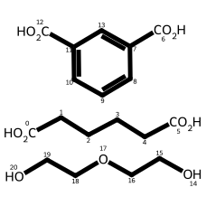 O=C(O)CCCCC(=O)O.O=C(O)c1cccc(C(=O)O)c1.OCCOCCO